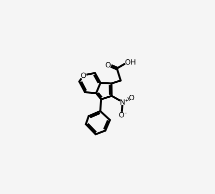 O=C(O)Cc1c2coccc-2c(-c2ccccc2)c1[N+](=O)[O-]